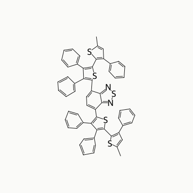 Cc1cc(-c2ccccc2)c(-c2sc(-c3ccc(-c4sc(-c5sc(C)cc5-c5ccccc5)c(-c5ccccc5)c4-c4ccccc4)c4nsnc34)c(-c3ccccc3)c2-c2ccccc2)s1